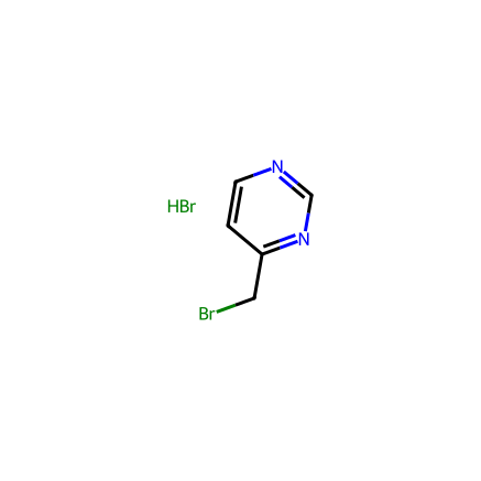 Br.BrCc1ccncn1